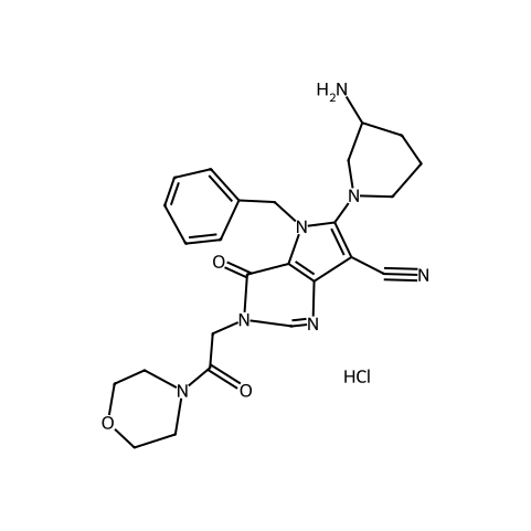 Cl.N#Cc1c(N2CCCC(N)C2)n(Cc2ccccc2)c2c(=O)n(CC(=O)N3CCOCC3)cnc12